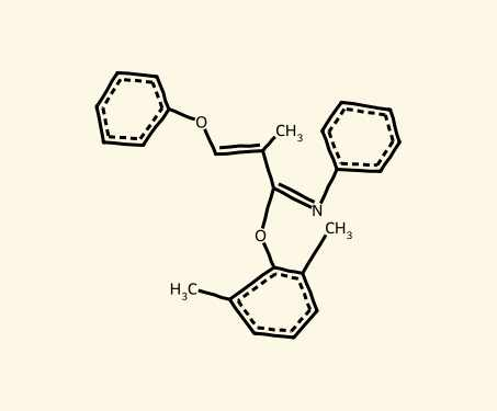 CC(=C\Oc1ccccc1)/C(=N\c1ccccc1)Oc1c(C)cccc1C